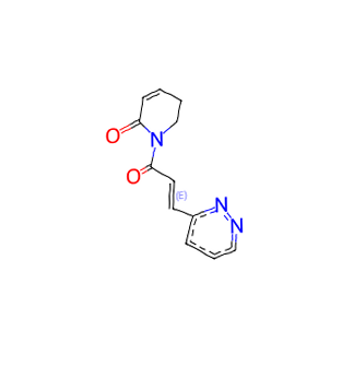 O=C1C=CCCN1C(=O)/C=C/c1cccnn1